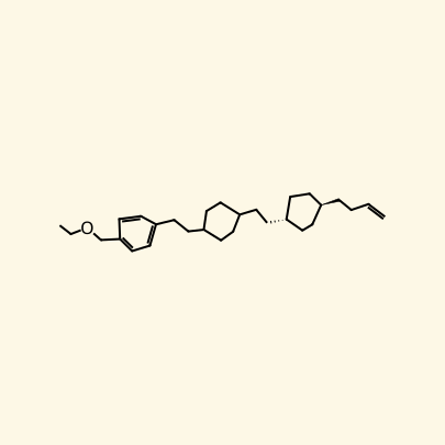 C=CCC[C@H]1CC[C@H](CCC2CCC(CCc3ccc(COCC)cc3)CC2)CC1